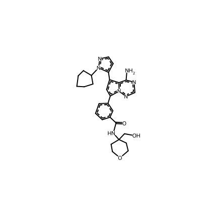 Nc1ncnn2c(-c3cccc(C(=O)NC4(CO)CCOCC4)c3)cc(-c3ccnn3C3CCCCC3)c12